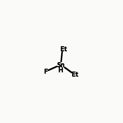 C[CH2][SnH]([F])[CH2]C